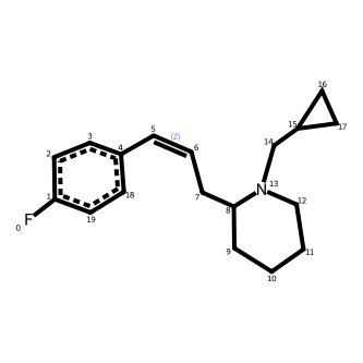 Fc1ccc(/C=C\CC2CCCCN2CC2CC2)cc1